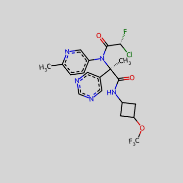 Cc1ccc(N(C(=O)[C@H](F)Cl)[C@@](C)(C(=O)NC2CC(OC(F)(F)F)C2)c2cncnc2)cn1